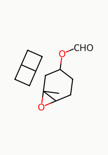 C1CC2CCC12.CC12CC(OC=O)CCC1O2